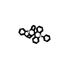 c1ccc(N2c3ccccc3C3(c4ccccc42)c2ccccc2-n2c4ccccc4c4cccc3c42)cc1